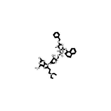 CCN(CC)CCc1nc2c(N)nc(Cl)nc2n1[C@@H]1C2O[C@H](COP(=O)(O)OP(=S)(N[C@@H](C)C(=O)OCc3ccccc3)Oc3cccc4ccccc34)[C@H](O)C21